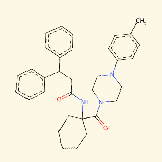 Cc1ccc(N2CCN(C(=O)C3(NC(=O)CC(c4ccccc4)c4ccccc4)CCCCC3)CC2)cc1